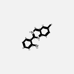 Cc1ccc2nc(-c3ccccc3Br)ncc2c1